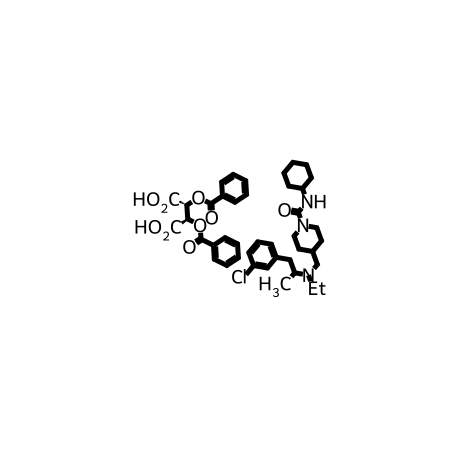 CCN(CC1CCN(C(=O)NC2CCCCC2)CC1)C(C)Cc1cccc(Cl)c1.O=C(O[C@@H](C(=O)O)[C@@H](OC(=O)c1ccccc1)C(=O)O)c1ccccc1